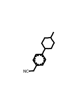 CC1CCC(c2ccc(CC#N)cc2)CC1